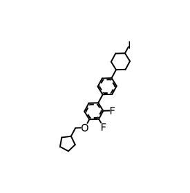 Fc1c(OCC2CCCC2)ccc(-c2ccc(C3CCC(I)CC3)cc2)c1F